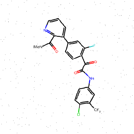 CNC(=O)c1ncccc1-c1ccc(C(=O)C(=O)Nc2ccc(Cl)c(C(F)(F)F)c2)c(F)c1